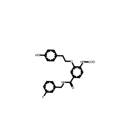 O=CNc1ccc(C(=O)NCc2cccc(F)c2)cc1OCCc1ccc(O)cc1